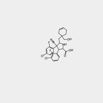 N#CC1(c2ccc(Cl)cc2F)C(CC2(CO)CC=CCC2)NC(C(=O)O)C1c1cccc(Cl)c1F